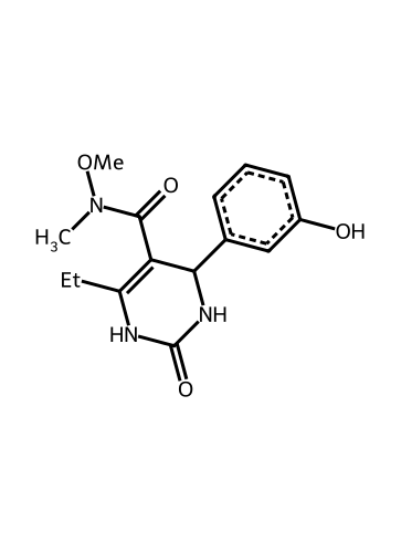 CCC1=C(C(=O)N(C)OC)C(c2cccc(O)c2)NC(=O)N1